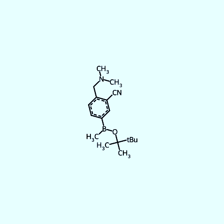 CB(OC(C)(C)C(C)(C)C)c1ccc(CN(C)C)c(C#N)c1